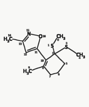 CSC1(SC)CCCC(C)=C1c1cc(C)no1